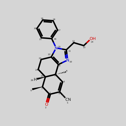 C[C@@H]1C(=O)C(C#N)=C[C@]2(C)c3nc(CCO)n(-c4ccccc4)c3CC[C@@H]12